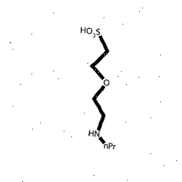 CCCNCCOCCS(=O)(=O)O